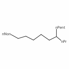 [CH2]CCC(CCCCC)CCCCCCCCCCCCCC